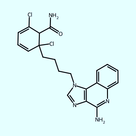 NC(=O)C1C(Cl)=CC=CC1(Cl)CCCCn1cnc2c(N)nc3ccccc3c21